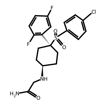 NC(=O)CN[C@H]1CC[C@@](c2cc(F)ccc2F)(S(=O)(=O)c2ccc(Cl)cc2)CC1